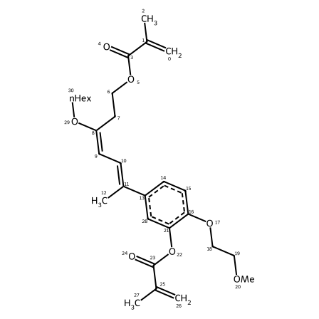 C=C(C)C(=O)OCC/C(=C\C=C(/C)c1ccc(OCCOC)c(OC(=O)C(=C)C)c1)OCCCCCC